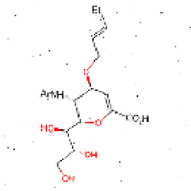 CC/C=C/CO[C@H]1C=C(C(=O)O)O[C@@H]([C@H](O)[C@H](O)CO)[C@@H]1NC(C)=O